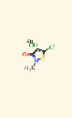 Cl.Cn1sc(Cl)cc1=O.[Zn]